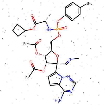 CN=C[C@@]1(c2ccc3c(N)ncnn23)O[C@H](COP(=O)(N[C@@H](C)C(=O)OC2CCC2)Oc2ccc(C(C)(C)C)cc2)[C@@H](OC(=O)C(C)C)[C@H]1OC(=O)C(C)C